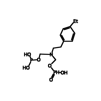 CCc1ccc(CCN(COP(O)O)CO[PH](=O)O)cc1